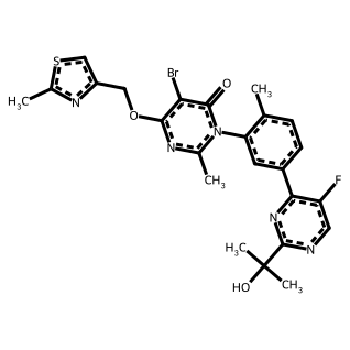 Cc1nc(COc2nc(C)n(-c3cc(-c4nc(C(C)(C)O)ncc4F)ccc3C)c(=O)c2Br)cs1